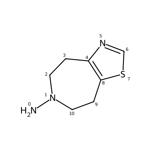 NN1CCc2ncsc2CC1